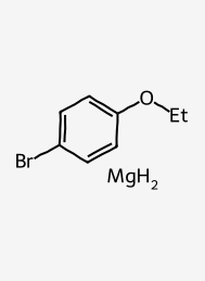 CCOc1ccc(Br)cc1.[MgH2]